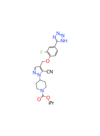 CC(C)OC(=O)N1CCC(n2ncc(COc3ccc(-c4nnn[nH]4)cc3F)c2C#N)CC1